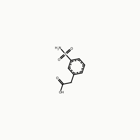 NS(=O)(=O)c1cccc([CH]C(=O)O)c1